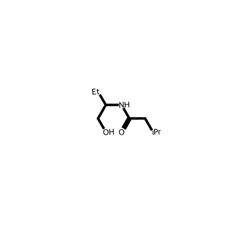 CCC(CO)NC(=O)CC(C)C